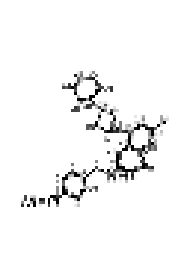 COc1ccc(CNc2ccc3nc(C)cc(N4CCC(c5ccccc5)C4)c3c2)cc1